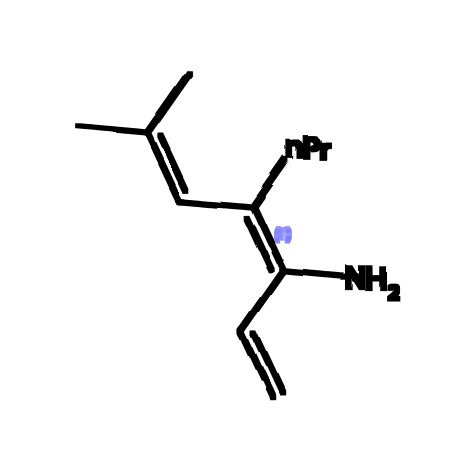 C=C/C(N)=C(\C=C(C)C)CCC